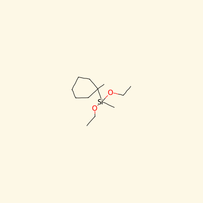 CCO[Si](C)(OCC)C1(C)CCCCC1